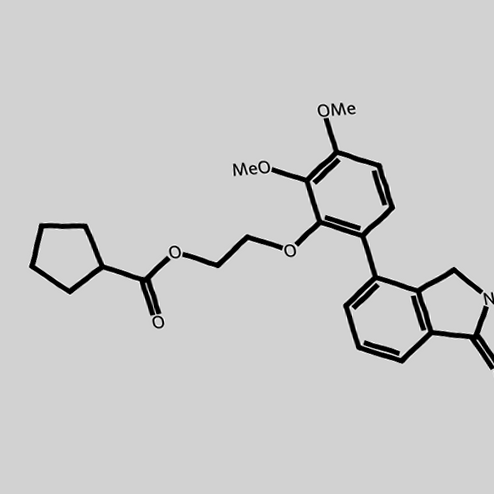 COc1ccc(-c2cccc3c2CNC3=O)c(OCCOC(=O)C2CCCC2)c1OC